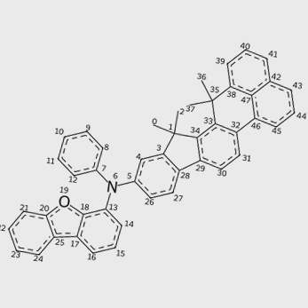 CC1(C)c2cc(N(c3ccccc3)c3cccc4c3oc3ccccc34)ccc2-c2ccc3c(c21)C(C)(C)c1cccc2cccc-3c12